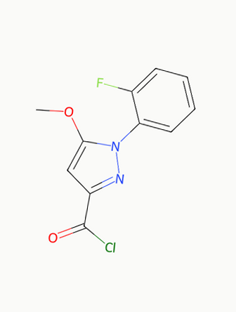 COc1cc(C(=O)Cl)nn1-c1ccccc1F